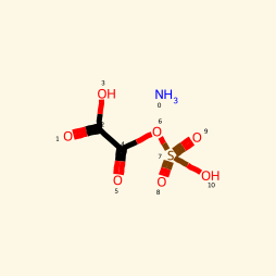 N.O=C(O)C(=O)OS(=O)(=O)O